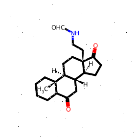 C[C@]12CCCCC1C(=O)C[C@H]1[C@@H]3CCC(=O)[C@@]3(CCNC=O)CC[C@@H]12